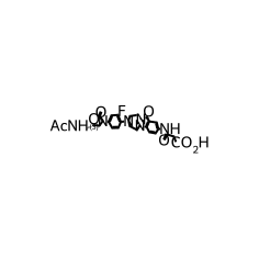 CC(=O)NC[C@H]1CN(c2ccc(N3CCn4c(=O)c5cc(NC(=O)CC(=O)O)ccc5n4CC3)c(F)c2)C(=O)O1